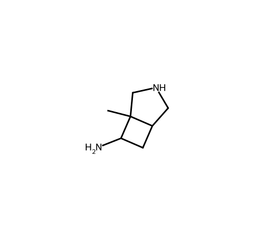 CC12CNCC1CC2N